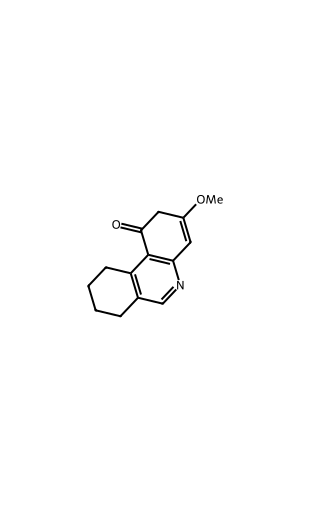 COC1=Cc2ncc3c(c2C(=O)C1)CCCC3